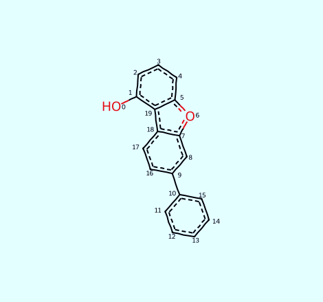 Oc1cccc2oc3cc(-c4ccccc4)ccc3c12